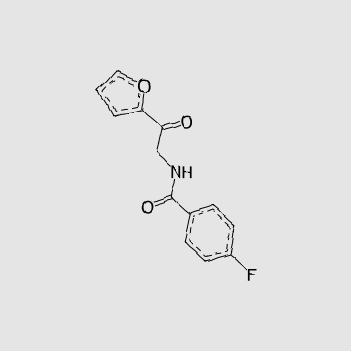 O=C(NCC(=O)c1ccco1)c1ccc(F)cc1